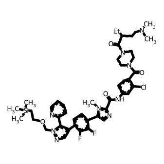 CCC(CCN(C)C)C(=O)N1CCN(C(=O)c2ccc(NC(=O)c3ncc(-c4ccc(-c5cnn(COCC[Si](C)(C)C)c5-c5ccccn5)c(F)c4F)n3C)cc2Cl)CC1